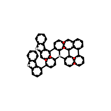 c1ccc(-c2cccc3cccc(-c4ccccc4N(c4ccc(-c5cccc6sc7ccccc7c56)cc4)c4ccccc4-c4cccc5oc6ccccc6c45)c23)cc1